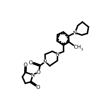 Cc1c(CN2CCN(C(=O)ON3C(=O)CCC3=O)CC2)cccc1N1CCCCC1